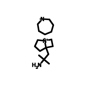 C1CCC[N]CC1.CC(C)(N)CC12CCC[N+]1CC2